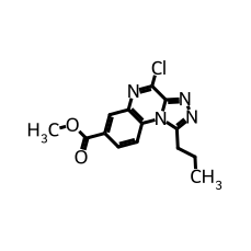 CCCc1nnc2c(Cl)nc3cc(C(=O)OC)ccc3n12